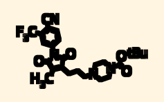 CC1=C(CCCN2CCN(C(=O)OC(C)(C)C)CC2)C(=O)N(c2ccc(C#N)c(C(F)(F)F)c2)C1=O